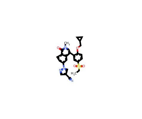 CCS(=O)(=O)c1ccc(OCC2CC2)c(-c2cn(C)c(=O)c3ccc(-n4cc(C#N)cn4)cc23)c1